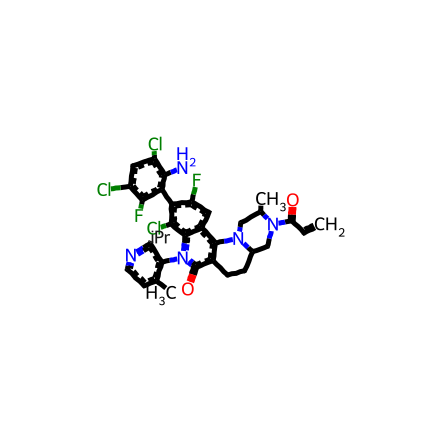 C=CC(=O)N1CC2CCc3c(c4cc(F)c(-c5c(N)c(Cl)cc(Cl)c5F)c(Cl)c4n(-c4c(C)ccnc4C(C)C)c3=O)N2CC1C